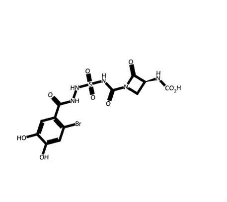 O=C(O)N[C@H]1CN(C(=O)NS(=O)(=O)NNC(=O)c2cc(O)c(O)cc2Br)C1=O